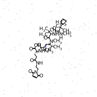 CN[C@H](C(=O)NC(C(=O)N(C)[C@H](/C=C(\C)C(=O)N[C@H](CCC(=O)NCCN1C(=O)C=CC1=O)C(=O)O)C(C)C)C(C)(C)C)C(C)(C)c1cccs1